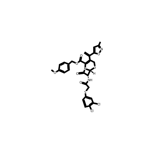 C=C(C1=C(C(=O)OCc2ccc(OC)cc2)N2C(=O)[C@@H](NC(=O)CSc3ccc(Cl)c(Cl)c3)[C@H]2SC1)c1cc(C)no1